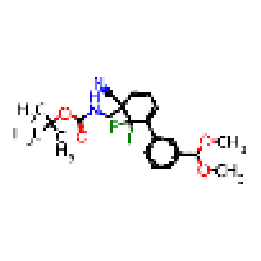 COC(OC)c1cccc(C2=CC=CC(C#N)(CNC(=O)OC(C)(C)C)C2(F)F)c1